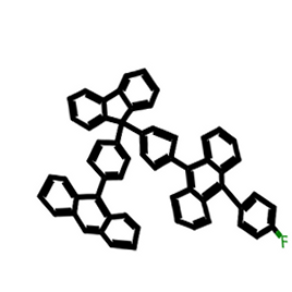 Fc1ccc(-c2c3ccccc3c(-c3ccc(C4(c5ccc(-c6c7ccccc7cc7ccccc67)cc5)c5ccccc5-c5ccccc54)cc3)c3ccccc23)cc1